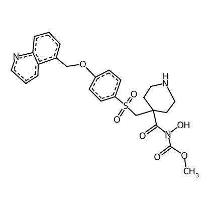 COC(=O)N(O)C(=O)C1(CS(=O)(=O)c2ccc(OCc3cccc4ncccc34)cc2)CCNCC1